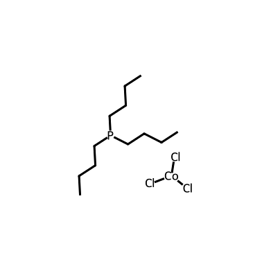 CCCCP(CCCC)CCCC.[Cl][Co]([Cl])[Cl]